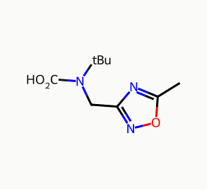 Cc1nc(CN(C(=O)O)C(C)(C)C)no1